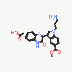 CC(=O)O.COC(=O)c1ccc2c(c1)c(-c1nc3ccccc3[nH]c1=O)cn2CCCN